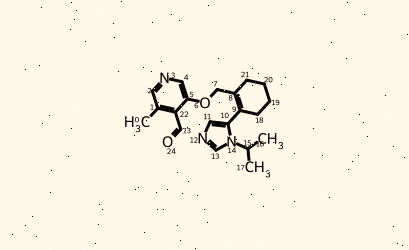 Cc1cncc(OCC2=C(c3cncn3C(C)C)CCCC2)c1C=O